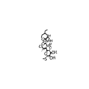 CC[C@@H]1CCO[C@@H]2[C@H](CN[C@@H]2C(=O)N[C@H]([C@H](C)Cl)[C@H]2OC(SC)[C@H](O)[C@H](O)C2O)C1